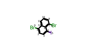 Brc1ccc(I)c2c(Br)cccc12